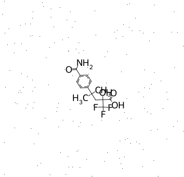 CC(C)(CC(O)(C(=O)O)C(F)(F)F)c1ccc(C(N)=O)cc1